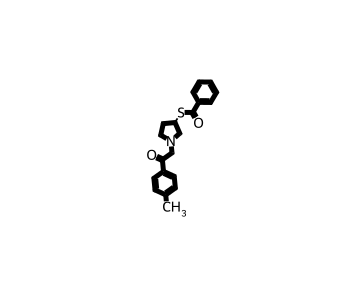 Cc1ccc(C(=O)CN2CC[C@H](SC(=O)c3ccccc3)C2)cc1